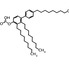 CCCCCCCCCc1ccc(-c2ccc(OP(O)O)c(CCCCCCCCC)c2CCCCCCCCC)cc1